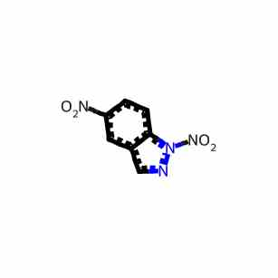 O=[N+]([O-])c1ccc2c(cnn2[N+](=O)[O-])c1